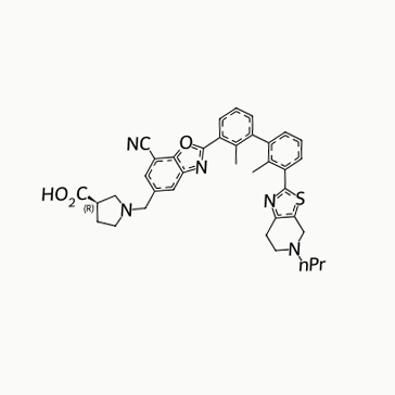 CCCN1CCc2nc(-c3cccc(-c4cccc(-c5nc6cc(CN7CC[C@@H](C(=O)O)C7)cc(C#N)c6o5)c4C)c3C)sc2C1